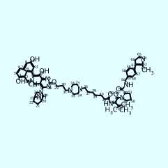 C#Cc1c(O)ccc2cc(O)cc(-c3ncc4c(N5CC6CCC(C5)N6)nc(OCCCN5CCN(CCCCCCC(=O)NC(C(=O)N6CCC[C@H]6C(=O)NCc6ccc(C7=C(C)N=CC7)cc6)C(C)(C)C)CC5)nc4c3O)c12